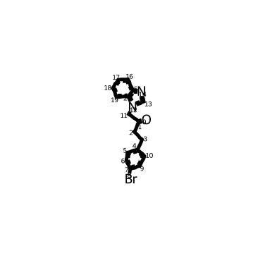 O=C(CCc1ccc(Br)cc1)Cn1cnc2ccccc21